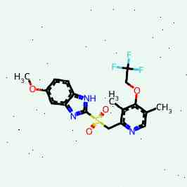 COc1ccc2[nH]c(S(=O)(=O)Cc3ncc(C)c(OCC(F)(F)F)c3C)nc2c1